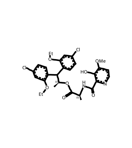 CCOc1cc(Cl)ccc1C(c1ccc(Cl)cc1OCC)[C@H](C)OC(=O)[C@H](C)NC(=O)c1nccc(OC)c1O